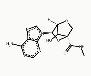 CNC(=O)[C@@]12CO[C@@H](C1O)[C@H](n1cnc3c(N)ncnc31)O2